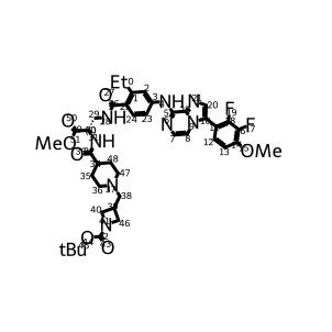 CCc1cc(Nc2nccn3c(-c4ccc(OC)c(F)c4F)cnc23)ccc1C(=O)NC[C@H](NC(=O)C1CCN(CC2CN(C(=O)OC(C)(C)C)C2)CC1)C(=O)OC